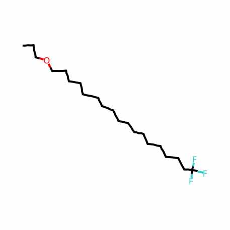 CCCOCCCCCCCCCCCCCCCCCC(F)(F)F